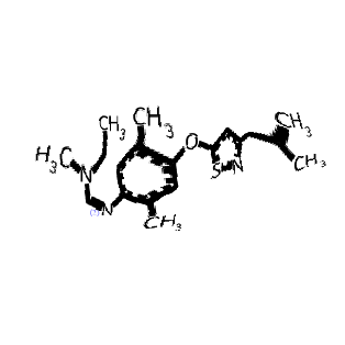 CCN(C)/C=N\c1cc(C)c(Oc2cc(C(C)C)ns2)cc1C